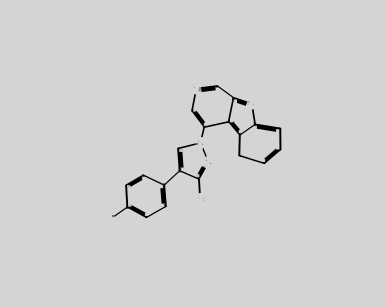 Nc1nn(-c2cncc3c2=C2CC=CC=C2N=3)cc1-c1ccc(Cl)cc1